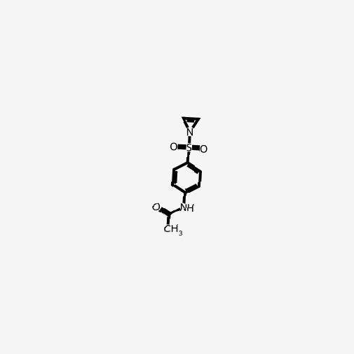 CC(=O)Nc1ccc(S(=O)(=O)N2C=C2)cc1